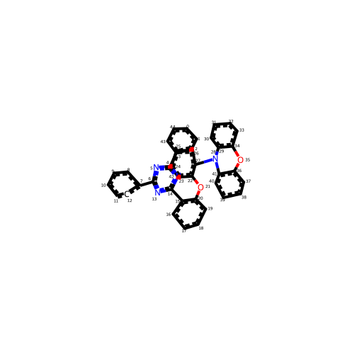 c1ccc(-c2nc(-c3ccccc3)nc(-c3ccccc3Oc3ccccc3N3c4ccccc4Oc4ccccc43)n2)cc1